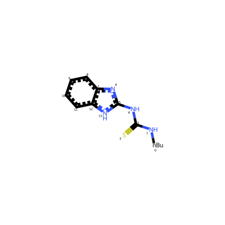 CCCCNC(=S)Nc1nc2ccccc2[nH]1